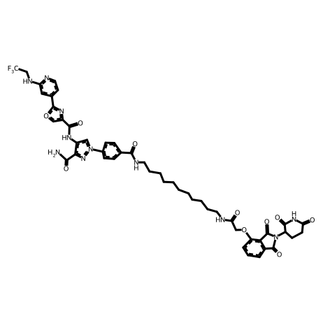 NC(=O)c1nn(-c2ccc(C(=O)NCCCCCCCCCCCNC(=O)COc3cccc4c3C(=O)N(C3CCC(=O)NC3=O)C4=O)cc2)cc1NC(=O)c1coc(-c2ccnc(NCC(F)(F)F)c2)n1